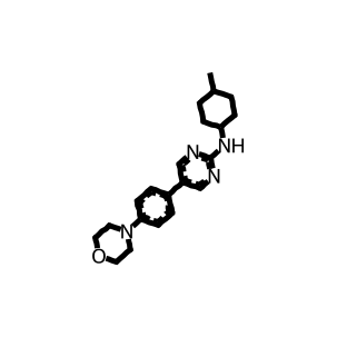 CC1CCC(Nc2ncc(-c3ccc(N4CCOCC4)cc3)cn2)CC1